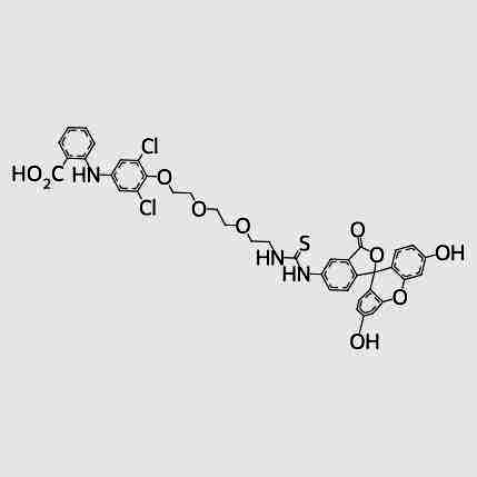 O=C(O)c1ccccc1Nc1cc(Cl)c(OCCOCCOCCNC(=S)Nc2ccc3c(c2)C(=O)OC32c3ccc(O)cc3Oc3cc(O)ccc32)c(Cl)c1